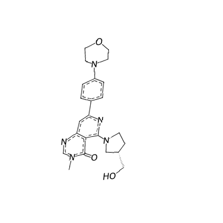 Cn1cnc2cc(-c3ccc(N4CCOCC4)cc3)nc(N3CC[C@H](CO)C3)c2c1=O